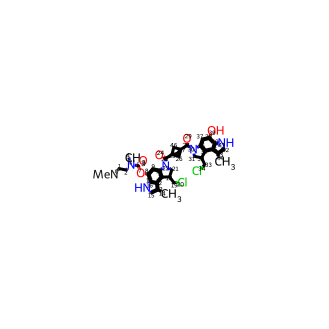 CNCCN(C)C(=O)Oc1cc2c(c3c(C)c[nH]c13)C(CCl)CN2C(=O)C12CC(C(=O)N3CC(CCl)c4c3cc(O)c3[nH]cc(C)c43)(C1)C2